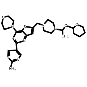 Nc1ncc(-c2nc(N3CCOCC3)c3sc(CN4CCN(C(C=O)OC5CCCCO5)CC4)cc3n2)cn1